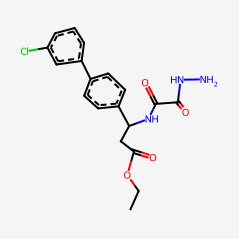 CCOC(=O)CC(NC(=O)C(=O)NN)c1ccc(-c2cccc(Cl)c2)cc1